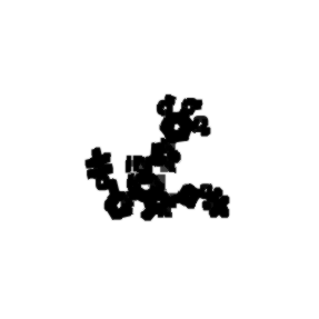 COc1cc(-n2cnc(Nc3nc(N4CCCC4CO[Si](C)(C)C(C)(C)C)c4c(C)nn(C5CC(O[Si](C)(C)C(C)(C)C)C5)c4n3)c2)cc(OC)c1OC